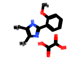 COc1ccccc1-c1nc(C)c(C)[nH]1.O=C(O)C(=O)O